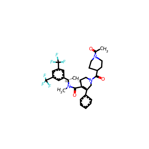 CC(=O)N1CCC(C(=O)N2CCC(C(=O)N(C)[C@@H](C)c3cc(C(F)(F)F)cc(C(F)(F)F)c3)=C(c3ccccc3)C2)CC1